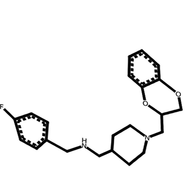 Fc1ccc(CNCC2CCN(CC3COc4ccccc4O3)CC2)cc1